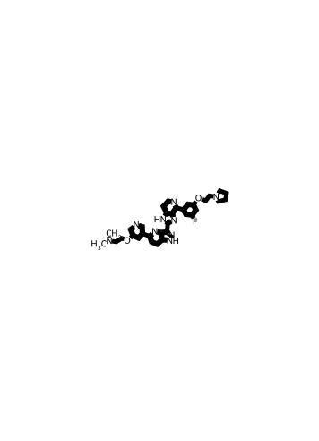 CN(C)CCOc1cncc(-c2ccc3[nH]nc(-c4nc5c(-c6cc(F)cc(OCCN7CCCC7)c6)nccc5[nH]4)c3n2)c1